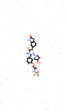 CN(C(=O)Cc1ccc2c(c1)NC(=O)C2)[C@H](CN1CC[C@@H](O)C1)c1cccc(OCC(=O)NS(C)(=O)=O)c1